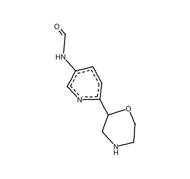 O=CNc1ccc(C2CNCCO2)nc1